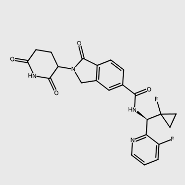 O=C1CCC(N2Cc3cc(C(=O)N[C@H](c4ncccc4F)C4(F)CC4)ccc3C2=O)C(=O)N1